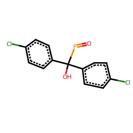 O=PC(O)(c1ccc(Cl)cc1)c1ccc(Cl)cc1